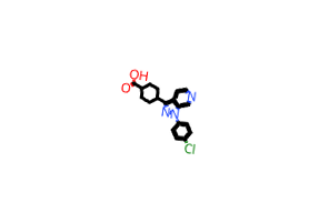 O=C(O)C1CCC(c2nn(-c3ccc(Cl)cc3)c3cnccc23)CC1